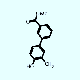 COC(=O)c1cccc(-c2ccc(O)c(C)c2)c1